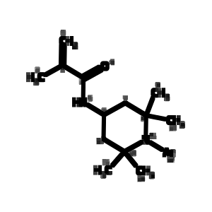 C=C(C)C(=O)NC1CC(C)(C)N(C(C)=O)C(C)(C)C1